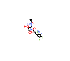 N[C@@H](CC(=O)N1C(O)CC(O)[C@H]1CNC(=O)C1CC1)Cc1cc(F)c(F)cc1F